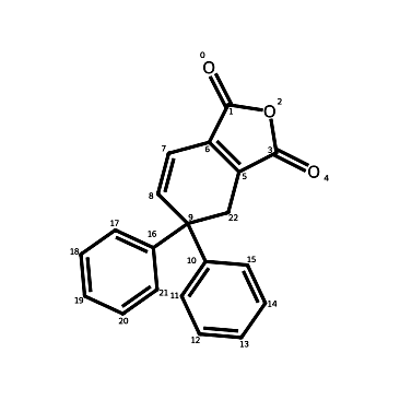 O=C1OC(=O)C2=C1C=CC(c1ccccc1)(c1ccccc1)C2